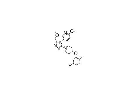 COCc1nnc(N2CCC(Oc3cc(F)ccc3C)CC2)n1-c1ccc(OC)nc1